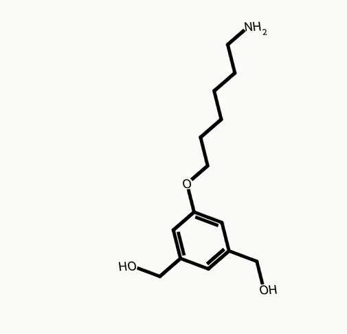 NCCCCCCOc1cc(CO)cc(CO)c1